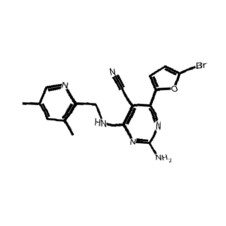 Cc1cnc(CNc2nc(N)nc(-c3ccc(Br)o3)c2C#N)c(C)c1